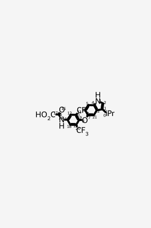 CC(C)c1c[nH]c2ccc(Oc3c(C(F)(F)F)cc(NC(=O)C(=O)O)cc3C(F)(F)F)cc12